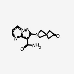 NC(=O)c1c(N2CC3(CC(=O)C3)C2)nn2cccnc12